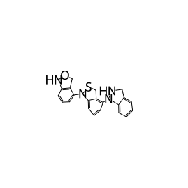 c1ccc2c(c1)CNN2c1cccc2c1CSN2c1cccc2c1CON2